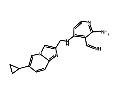 N=Cc1c(NCc2cn3cc(C4CC4)ccc3n2)ccnc1N